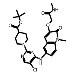 CNC(=O)COc1cc2cc(Nc3nc(N4CCC(C(=O)OC(C)(C)C)CC4)ncc3Cl)ccc2n(C)c1=O